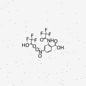 O=C(O)C(F)(F)F.O=C(O)c1ccc([N+](=O)[O-])cc1NC(=O)C(F)(F)F